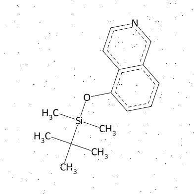 CC(C)(C)[Si](C)(C)Oc1cccc2cnccc12